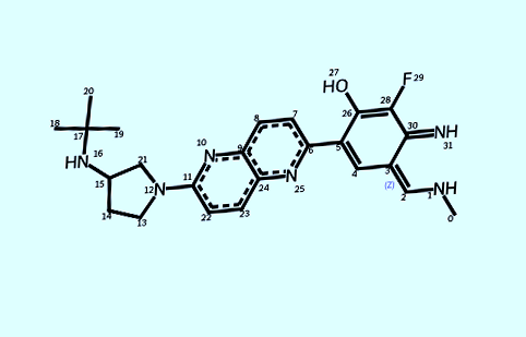 CN/C=C1/C=C(c2ccc3nc(N4CCC(NC(C)(C)C)C4)ccc3n2)C(O)=C(F)C1=N